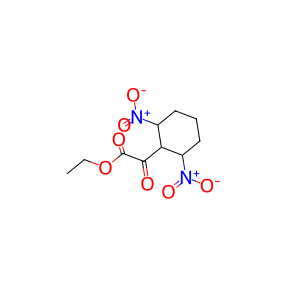 CCOC(=O)C(=O)C1C([N+](=O)[O-])CCCC1[N+](=O)[O-]